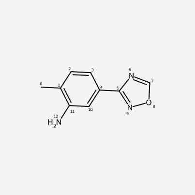 Cc1ccc(-c2ncon2)cc1N